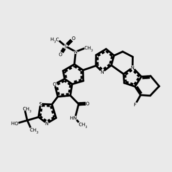 CNC(=O)c1c(-c2cnc(C(C)(C)O)s2)oc2cc(N(C)S(C)(=O)=O)c(-c3ccc4c(n3)-c3cc5c(n3CC4)=CCCC=5F)cc12